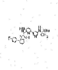 C=C(Nc1cncc(-c2ccc3[nH]nc(-c4nc5c(-c6ccc(F)cc6)cccc5[nH]4)c3n2)c1)C(C)(C)C